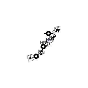 Cc1ccc(COCC(F)(F)F)c(N2C(=O)CS/C2=N\C(=O)Nc2ccc(-c3ncn(-c4ccc(SC(F)(F)F)cc4)n3)cc2C)c1